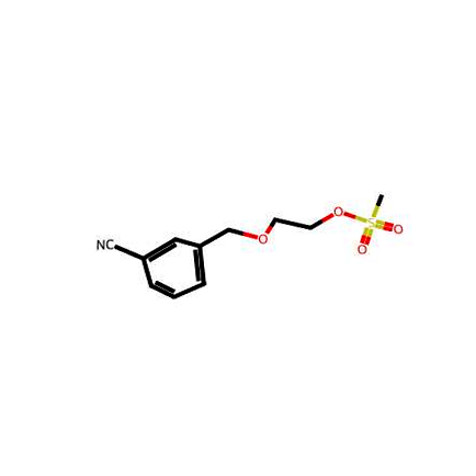 CS(=O)(=O)OCCOCc1cccc(C#N)c1